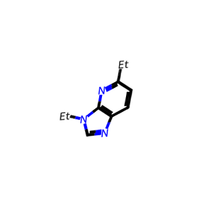 CCc1ccc2ncn(CC)c2n1